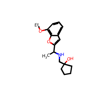 CCOc1cccc2cc(C(C)NCC3(O)CCCC3)oc12